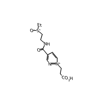 CC[S+]([O-])CCNC(=O)c1cc[n+](CCC(=O)O)nc1